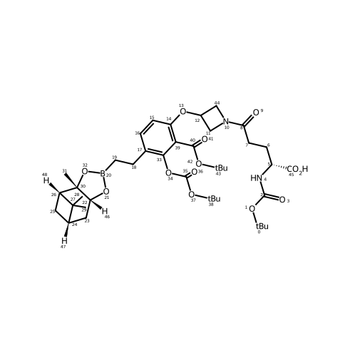 CC(C)(C)OC(=O)N[C@H](CCC(=O)N1CC(Oc2ccc(CCB3O[C@@H]4C[C@@H]5C[C@@H](C5(C)C)[C@]4(C)O3)c(OC(=O)OC(C)(C)C)c2C(=O)OC(C)(C)C)C1)C(=O)O